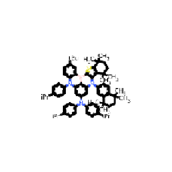 CC(C)c1ccc(N(c2ccc(C(C)C)cc2)c2cc3c4c(c2)N(c2ccc5c(c2)C(C)(C)CCC5(C)C)c2c(sc5c2C(C)(C)CCC5(C)C)B4c2cc(C(C)(C)C)ccc2N3c2ccc(C(C)C)cc2)cc1